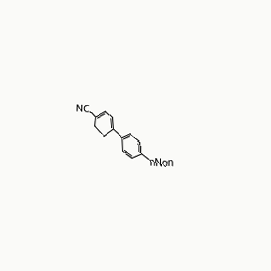 CCCCCCCCCc1ccc(C2=CC=C(C#N)CC2)cc1